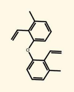 C=Cc1c(C)cccc1Oc1cccc(C)c1C=C